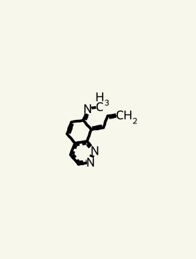 C=C/C=C1\C(=N/C)C=Cc2ccnnc21